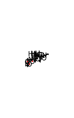 C=CCNC(=O)C(=O)C(CC1CC1)NC(=O)[C@@H]1[C@@H]2[C@H](CN1C(=O)[C@@H](NC(=O)N[C@H](CS(=O)(=O)N(C)C(C)(C)C)C(C)C)C(C)(C)C)C2(C)C